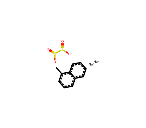 Cc1cccc2ccccc12.O=S([O-])S(=O)[O-].[Na+].[Na+]